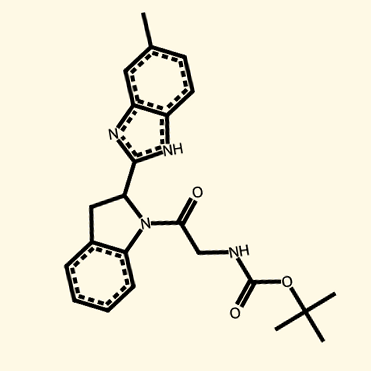 Cc1ccc2[nH]c(C3Cc4ccccc4N3C(=O)CNC(=O)OC(C)(C)C)nc2c1